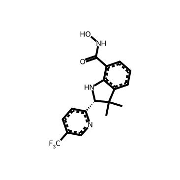 CC1(C)c2cccc(C(=O)NO)c2N[C@H]1c1ccc(C(F)(F)F)cn1